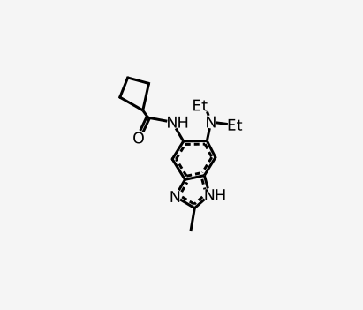 CCN(CC)c1cc2[nH]c(C)nc2cc1NC(=O)C1CCC1